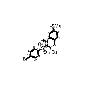 CC[C@H](C)[C@H](Cc1ccc(SC)cc1O)NS(=O)(=O)c1ccc(Br)cc1